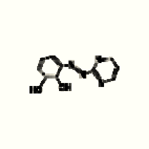 Oc1cccc(N=Nc2ncccn2)c1O